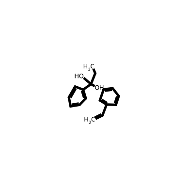 C=Cc1ccccc1.CCC(O)(O)c1ccccc1